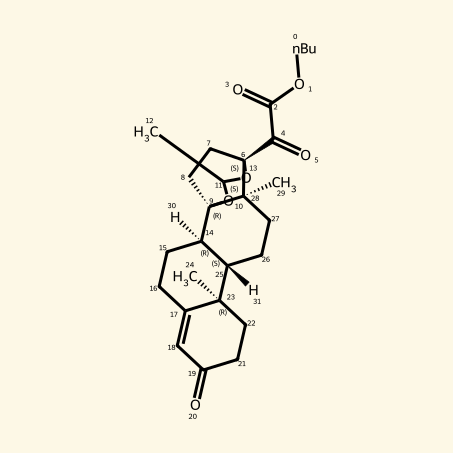 CCCCOC(=O)C(=O)[C@@]12CC[C@@]3(OC(C)O1)[C@@H]1CCC4=CC(=O)CC[C@]4(C)[C@H]1CC[C@]23C